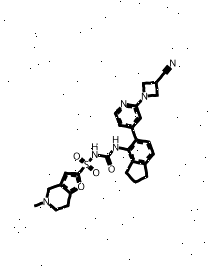 CN1CCc2oc(S(=O)(=O)NC(=O)Nc3c(-c4ccnc(N5CC(C#N)C5)c4)ccc4c3CCC4)cc2C1